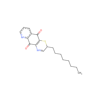 CCCCCCCCC1C=NC2=C(S1)C(=O)c1cccnc1C2=O